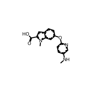 CNc1ccc(Oc2ccc3cc(C(=O)O)n(C)c3c2)nc1